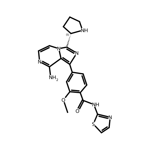 COc1cc(-c2nc([C@@H]3CCCN3)n3ccnc(N)c23)ccc1C(=O)Nc1nccs1